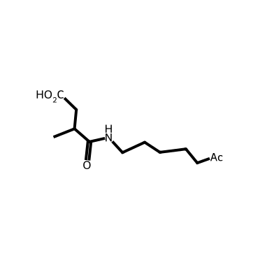 CC(=O)CCCCCNC(=O)C(C)CC(=O)O